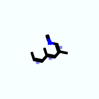 C=N\C=C(C)/C=C(C)/C=C\C